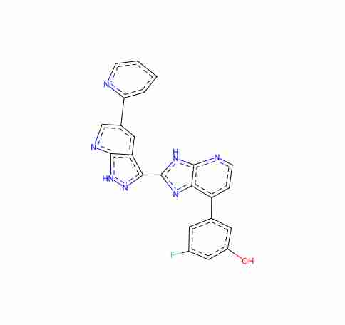 Oc1cc(F)cc(-c2ccnc3[nH]c(-c4n[nH]c5ncc(-c6ccccn6)cc45)nc23)c1